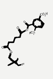 CC(C)(CO)COC(=O)CCCCC(=O)OC(=O)c1cc(C(=O)O)ccc1C(=O)O